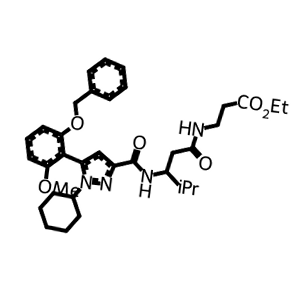 CCOC(=O)CCNC(=O)CC(NC(=O)c1cc(-c2c(OC)cccc2OCc2ccccc2)n(C2CCCCC2)n1)C(C)C